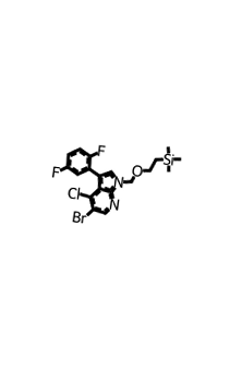 C[Si](C)(C)CCOCn1cc(-c2cc(F)ccc2F)c2c(Cl)c(Br)cnc21